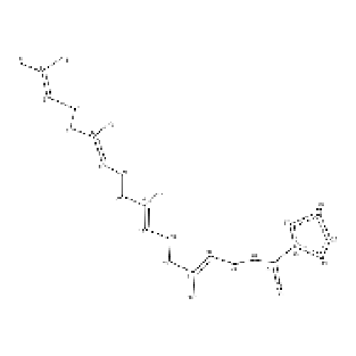 CC(C)=CCC/C(C)=C/CC/C(C)=C/CC/C(C)=C/CCC(=O)c1ccoc1